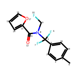 Cc1ccc(C(F)(F)N(CF)C(=O)c2ccco2)cc1